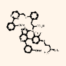 COc1cccc(-c2ncc3snc(OC(Cc4ccccc4OCc4ccnc(-c5ccccc5OC)n4)C(=O)O)c3c2-c2ccc(OCCN(C)C)c(Cl)c2C)c1